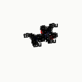 CC(C)(C)c1ccc(N2B3c4cc5oc6ccccc6c5cc4-n4c5ccc(C(C)(C)C)cc5c5c6c(oc7ccccc76)c(c3c54)-c3cc4c(cc32)C(C)(C)c2cc(N(c3ccc(C(C)(C)C)cc3)c3ccc(C(C)(C)C)cc3)ccc2-4)cc1